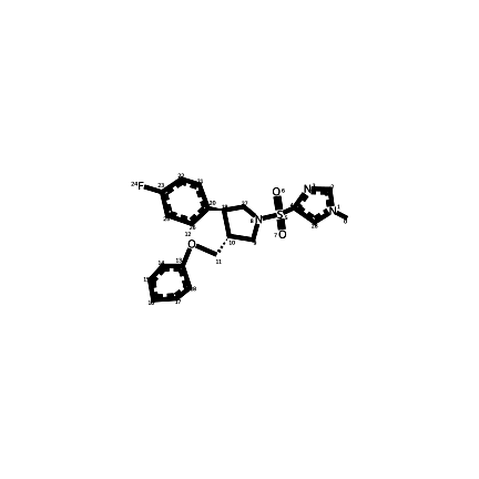 Cn1cnc(S(=O)(=O)N2C[C@H](COc3ccccc3)[C@@H](c3ccc(F)cc3)C2)c1